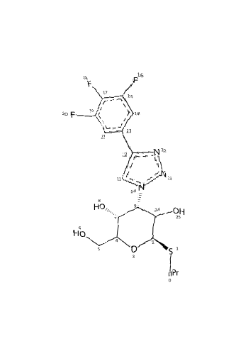 CCCS[C@H]1OC(CO)[C@H](O)[C@H](n2cc(-c3cc(F)c(F)c(F)c3)nn2)C1O